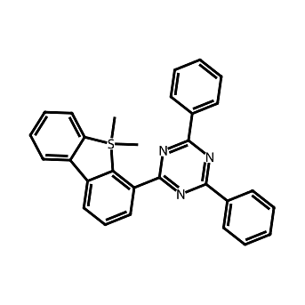 CS1(C)c2ccccc2-c2cccc(-c3nc(-c4ccccc4)nc(-c4ccccc4)n3)c21